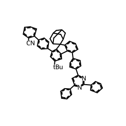 CC(C)(C)c1cc(-c2ccc(-c3ccccc3C#N)cc2)c2c(c1)-c1c(-c3ccc(-c4cc(-c5ccccc5)nc(-c5ccccc5)n4)cc3)cccc1C21C2CC3CC(C2)CC1C3